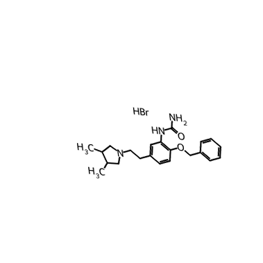 Br.CC1CN(CCc2ccc(OCc3ccccc3)c(NC(N)=O)c2)CC1C